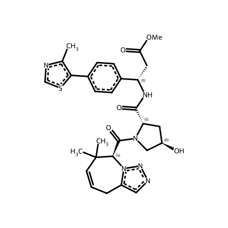 COC(=O)C[C@H](NC(=O)[C@@H]1C[C@@H](O)CN1C(=O)[C@H]1n2nncc2CC=CC1(C)C)c1ccc(-c2scnc2C)cc1